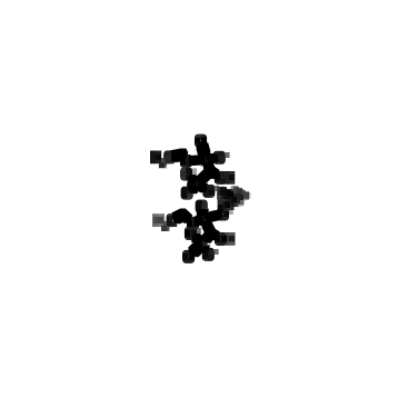 C=COP(=O)([O-])C(O)P(=O)([O-])[O-].C=COP(=O)([O-])C(O)P(=O)([O-])[O-].[Be+2].[Be+2].[Be+2]